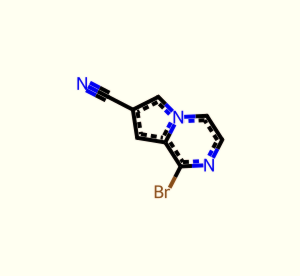 N#Cc1cc2c(Br)nccn2c1